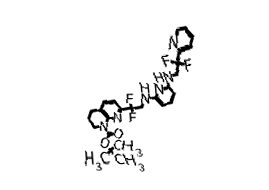 CC(C)(C)OC(=O)N1CCCc2ccc(C(F)(F)CNc3cccc(NCC(F)(F)c4ccccn4)n3)nc21